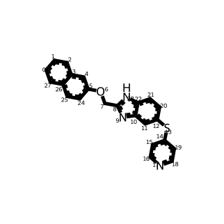 c1ccc2cc(OCc3nc4cc(Sc5ccncc5)ccc4[nH]3)ccc2c1